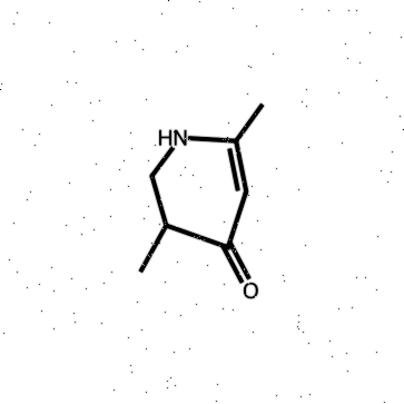 CC1=CC(=O)C(C)CN1